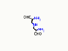 N[C@H](C=O)CNC[C@H](N)C=O